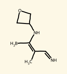 B/C(NC1COC1)=C(\C)C=N